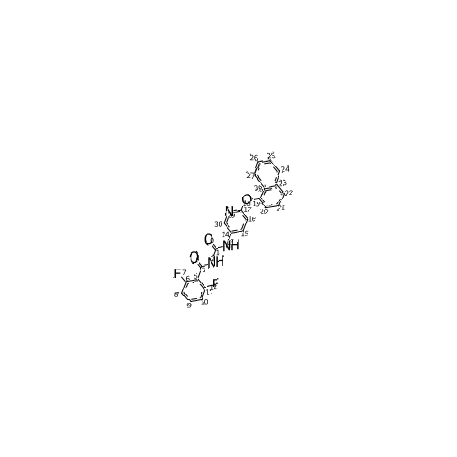 O=C(NC(=O)c1c(F)cccc1F)Nc1ccc(Oc2cccc3ccccc23)nc1